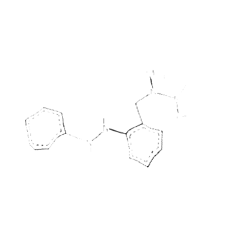 CN(C)N(C)Cc1ccccc1NNc1ccccc1